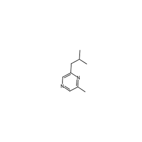 Cc1cncc(CC(C)C)n1